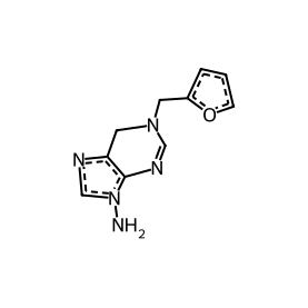 Nn1cnc2c1N=CN(Cc1ccco1)C2